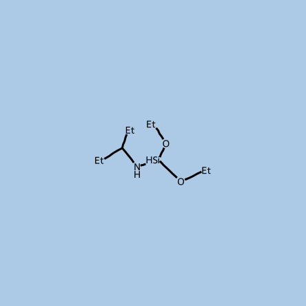 CCO[SiH](NC(CC)CC)OCC